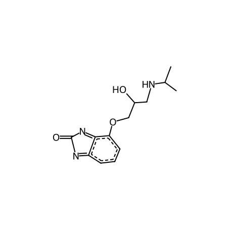 CC(C)NCC(O)COc1cccc2c1=NC(=O)N=2